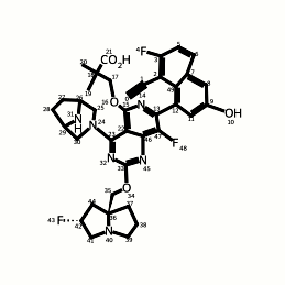 C#Cc1c(F)ccc2cc(O)cc(-c3nc(OCC(C)(C)C(=O)O)c4c(N5CC6CCC(C5)N6)nc(OC[C@@]56CCCN5C[C@H](F)C6)nc4c3F)c12